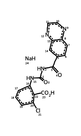 O=C(NC(=O)c1ccc2nccnc2c1)Nc1cccc(Cl)c1C(=O)O.[NaH]